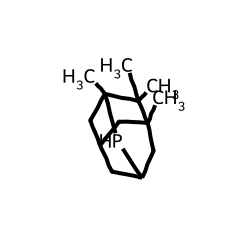 CC12CC3CC(C1)PC(C)(C3)C2(C)C